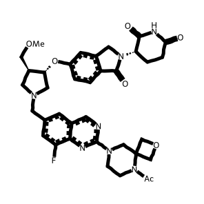 COC[C@@H]1CN(Cc2cc(F)c3nc(N4CCN(C(C)=O)C5(COC5)C4)ncc3c2)C[C@H]1Oc1ccc2c(c1)CN([C@H]1CCC(=O)NC1=O)C2=O